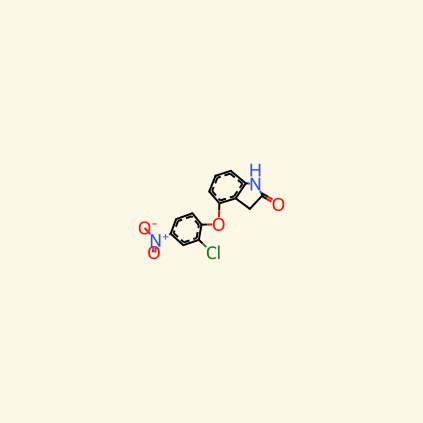 O=C1Cc2c(cccc2Oc2ccc([N+](=O)[O-])cc2Cl)N1